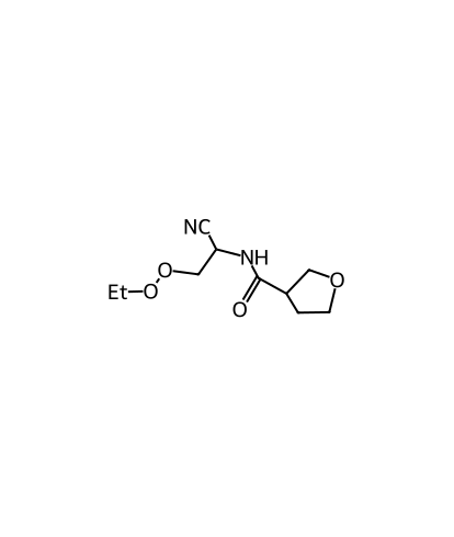 CCOOCC(C#N)NC(=O)C1CCOC1